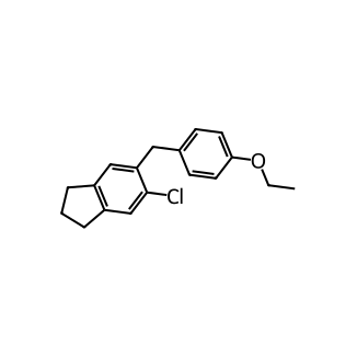 CCOc1ccc(Cc2cc3c(cc2Cl)CCC3)cc1